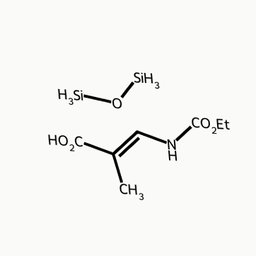 CCOC(=O)NC=C(C)C(=O)O.[SiH3]O[SiH3]